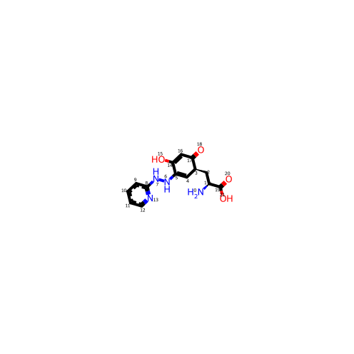 N[C@@H](C[C@H]1C=C(NNc2ccccn2)C(O)=CC1=O)C(=O)O